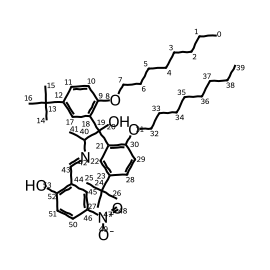 CCCCCCCCOc1ccc(C(C)(C)C)cc1C(O)(c1cc(C(C)(C)C)ccc1OCCCCCCCC)C(C)N=Cc1cc([N+](=O)[O-])ccc1O